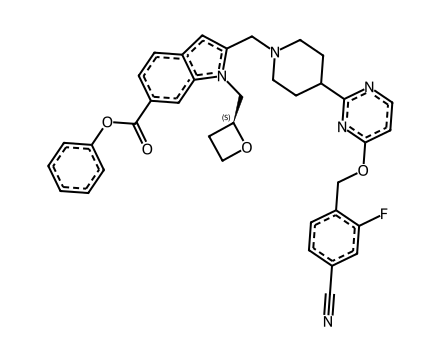 N#Cc1ccc(COc2ccnc(C3CCN(Cc4cc5ccc(C(=O)Oc6ccccc6)cc5n4C[C@@H]4CCO4)CC3)n2)c(F)c1